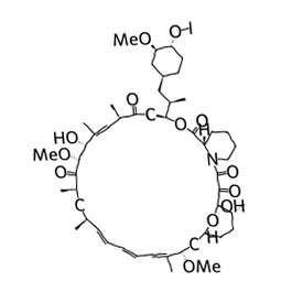 CO[C@H]1C[C@@H]2CC[C@@H](C)[C@@](O)(O2)C(=O)C(=O)N2CCCC[C@H]2C(=O)O[C@H]([C@H](C)C[C@@H]2CC[C@@H](OI)[C@H](OC)C2)CC(=O)[C@H](C)/C=C(\C)[C@@H](O)[C@@H](OC)C(=O)[C@H](C)C[C@H](C)/C=C/C=C/C=C/1C